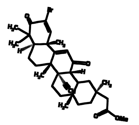 C#C[C@@]12CC[C@@]3(C)CC[C@](C)(CC(=O)OC)CC3[C@H]1C(=O)C=C1[C@@]3(C)C=C(Br)C(=O)C(C)(C)[C@@H]3CC[C@]12C